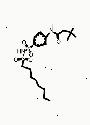 CCCCCCCCS(=O)(=O)NS(=O)(=O)c1ccc(NC(=O)CC(C)(C)C)cc1